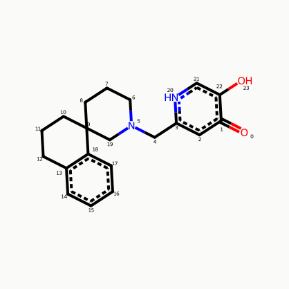 O=c1cc(CN2CCCC3(CCCc4ccccc43)C2)[nH]cc1O